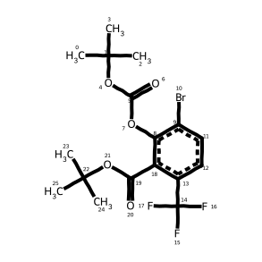 CC(C)(C)OC(=O)Oc1c(Br)ccc(C(F)(F)F)c1C(=O)OC(C)(C)C